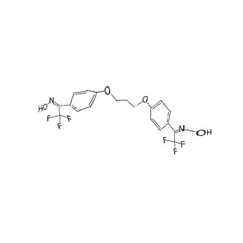 O/N=C(/c1ccc(OCCCOc2ccc(/C(=N/O)C(F)(F)F)cc2)cc1)C(F)(F)F